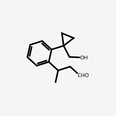 CC(CC=O)c1ccccc1C1(CO)CC1